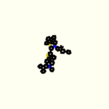 CC1(C)c2cc(-c3ccccc3)ccc2-c2ccc(N(c3cccc(-c4ccc5c6c(sc5c4)-c4ccccc4C64c5ccccc5-c5ccc(N(c6ccccc6)c6ccc7c8ccccc8c8ccccc8c7c6)cc54)c3)c3cccc4c3-c3sc5ccccc5c3C43c4ccccc4-c4ccccc43)cc21